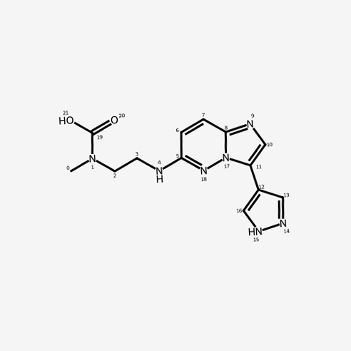 CN(CCNc1ccc2ncc(-c3cn[nH]c3)n2n1)C(=O)O